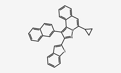 c1ccc2cc(-c3c(-c4cc5ccccc5s4)nn4c(C5CC5)cc5ccccc5c34)ccc2c1